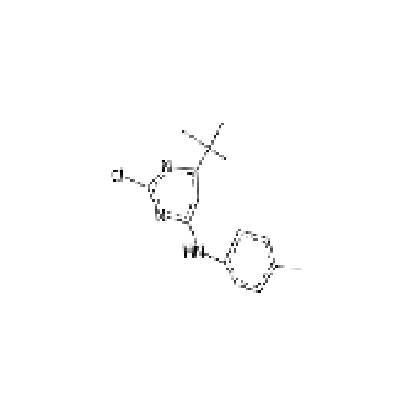 Cc1ccc(Nc2cc(C(C)(C)C)nc(Cl)n2)cc1